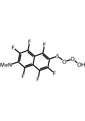 CNc1c(F)c(F)c2c(F)c(SOOO)c(F)c(F)c2c1F